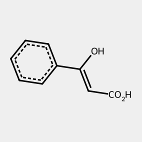 O=C(O)C=C(O)c1ccccc1